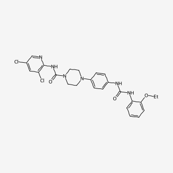 CCOc1ccccc1NC(=O)Nc1ccc(N2CCN(C(=O)Nc3ncc(Cl)cc3Cl)CC2)cc1